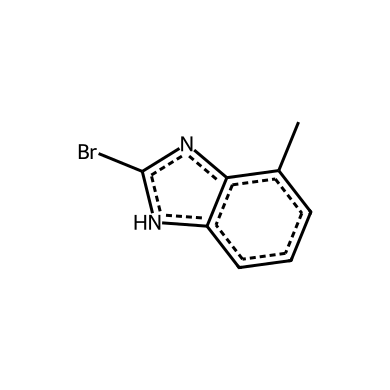 Cc1cccc2[nH]c(Br)nc12